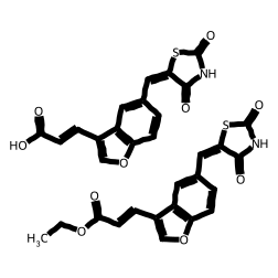 CCOC(=O)C=Cc1coc2ccc(C=C3SC(=O)NC3=O)cc12.O=C(O)C=Cc1coc2ccc(C=C3SC(=O)NC3=O)cc12